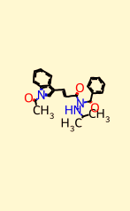 CC(=O)n1cc(C=CC(=O)N(NC(C)C)C(=O)c2ccccc2)c2ccccc21